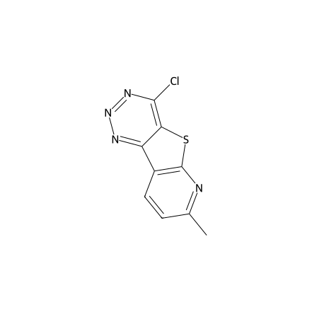 Cc1ccc2c(n1)sc1c(Cl)nnnc12